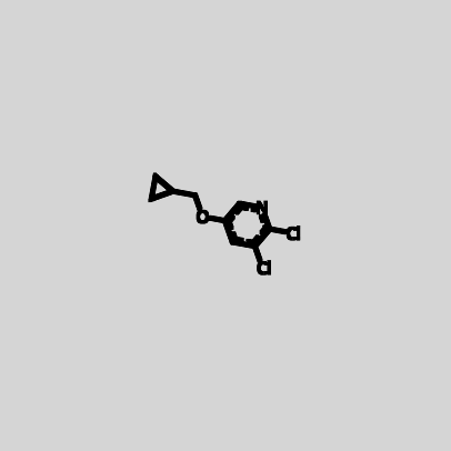 Clc1cc(OCC2CC2)cnc1Cl